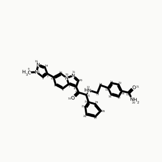 Cn1cc(-c2ccc3c(C(=O)[C@H](NCCc4ccc(C(N)=O)cc4)c4ccccc4)cnn3c2)cn1